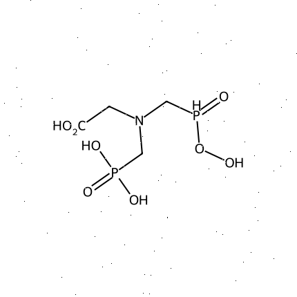 O=C(O)CN(C[PH](=O)OO)CP(=O)(O)O